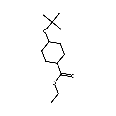 CCOC(=O)C1CCC(OC(C)(C)C)CC1